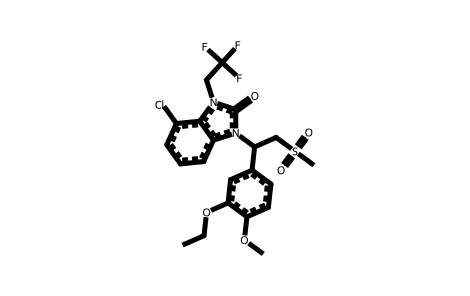 CCOc1cc(C(CS(C)(=O)=O)n2c(=O)n(CC(F)(F)F)c3c(Cl)cccc32)ccc1OC